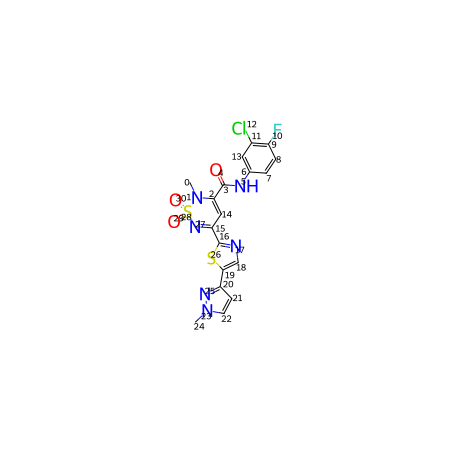 CN1C(C(=O)Nc2ccc(F)c(Cl)c2)=CC(c2ncc(-c3ccn(C)n3)s2)=NS1(=O)=O